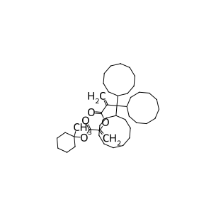 C=C(OC(=O)C(=C)C(C1CCCCCCCCC1)(C1CCCCCCCCC1)C1CCCCCCCCC1)C(=O)OC1(C)CCCCC1